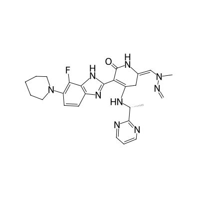 C=NN(C)/C=C1\CC(N[C@H](C)c2ncccn2)=C(c2nc3ccc(N4CCCCC4)c(F)c3[nH]2)C(=O)N1